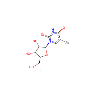 CC(=O)c1cn([C@H]2O[C@@H](CO)C(O)C2O)c(=O)[nH]c1=O